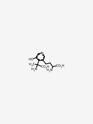 CC(N)(C(=O)O)c1c(O)cncc1CCC(N)C(=O)O